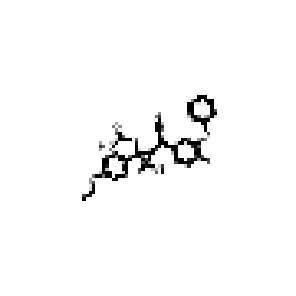 CCOc1ccc(C2(OC(=O)O)C(C(C#N)c3ccc(F)c(Oc4ccccc4)c3)C2(Cl)Cl)cc1